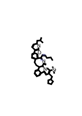 C=C1/N=C(/C=C\CCC)c2c(ccc3c2oc2nc(CC(C)C)ccc23)CCC2c3ccccc3-c3cc(CC4CCCC4)c([Si](C)(C)C)c[n+]3C12